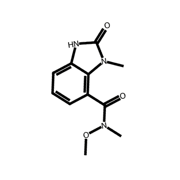 CON(C)C(=O)c1cccc2[nH]c(=O)n(C)c12